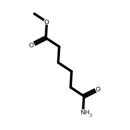 COC(=O)CCCCC(N)=O